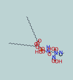 CCCCCCCCCCCCCCCCCC(=O)OCC(COP(=O)(O)OCCNC(=O)CCC(C(=O)O)N(CCN(CC)CC(=O)O)Cc1cccc(C)n1)OC(=O)CCCCCCCCCCCCCCCCC